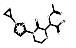 CC(=O)OC(C(=O)O)C1OCCN(c2ccn(C3CC3)n2)C1=O